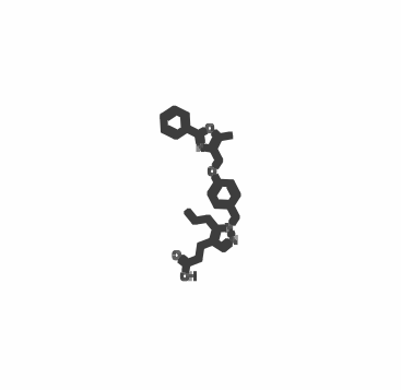 CCCc1c(CCC(=O)O)cnn1Cc1ccc(OCc2nc(-c3ccccc3)oc2C)cc1